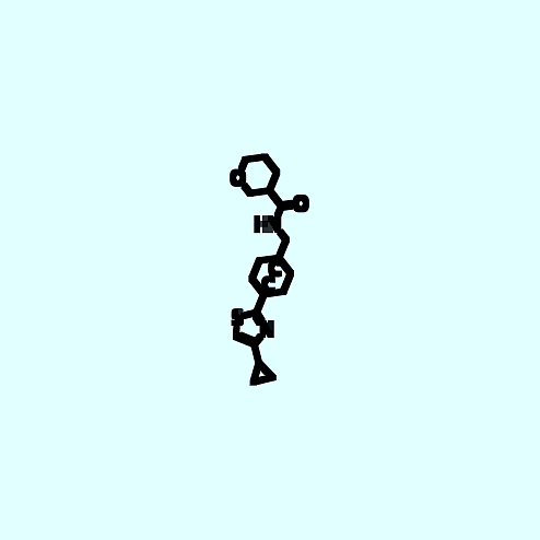 O=C(NCC12CCC(c3nc(C4CC4)cs3)(CC1)CC2)C1CCCOC1